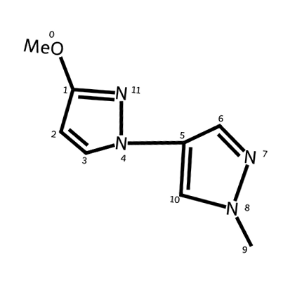 COc1ccn(-c2cnn(C)c2)n1